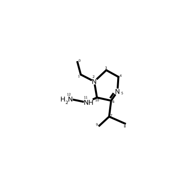 CCN1CCN=C(C(C)C)C1NN